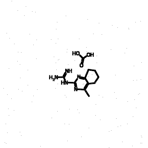 Cc1nc(NC(=N)N)nc2c1CCCC2.O=C(O)O